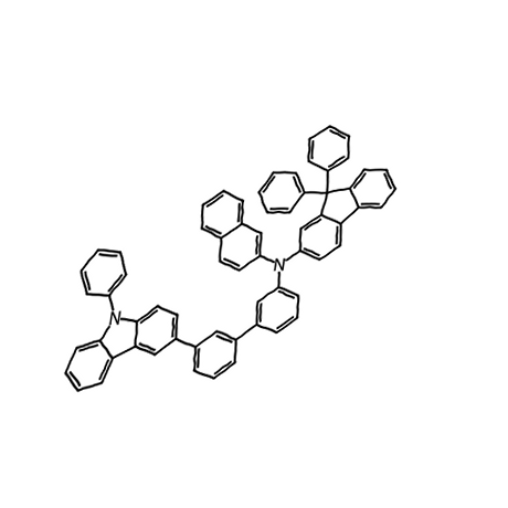 c1ccc(-n2c3ccccc3c3cc(-c4cccc(-c5cccc(N(c6ccc7c(c6)C(c6ccccc6)(c6ccccc6)c6ccccc6-7)c6ccc7ccccc7c6)c5)c4)ccc32)cc1